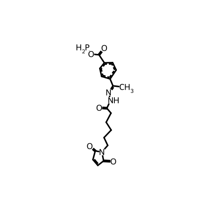 C/C(=N\NC(=O)CCCCCN1C(=O)C=CC1=O)c1ccc(C(=O)OP)cc1